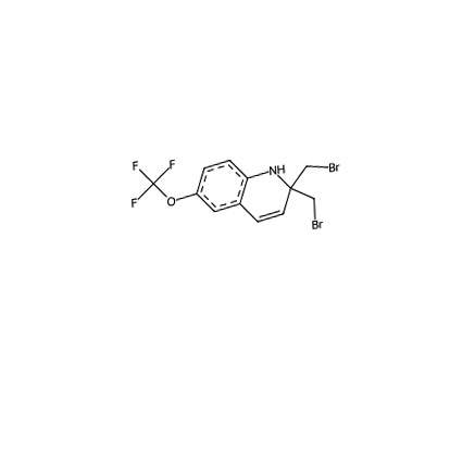 FC(F)(F)Oc1ccc2c(c1)C=CC(CBr)(CBr)N2